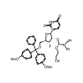 COc1ccc(C(OC[C@H]2O[C@@H](n3ccc(=O)[nH]c3=O)[C@H](OP(OCCC#N)N(C(C)C)C(C)C)[C@@H]2F)(c2ccccc2)c2ccc(OC)cc2)cc1